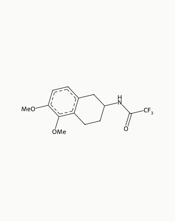 COc1ccc2c(c1OC)CCC(NC(=O)C(F)(F)F)C2